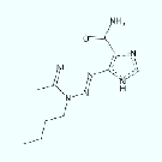 CCCCN(N=Nc1[nH]cnc1C(N)=O)C(C)=N